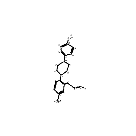 CCCc1cc(O)ccc1C1CCC(c2ccc(O)cc2)CC1